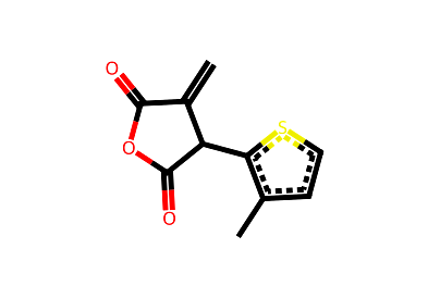 C=C1C(=O)OC(=O)C1c1sccc1C